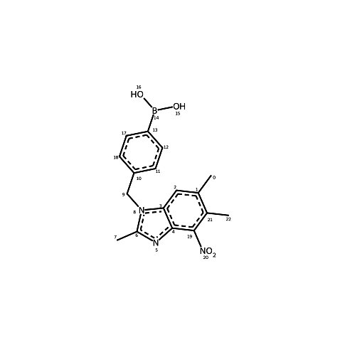 Cc1cc2c(nc(C)n2Cc2ccc(B(O)O)cc2)c([N+](=O)[O-])c1C